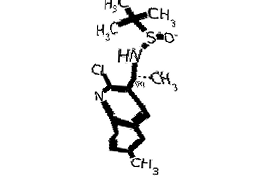 Cc1ccc2nc(Cl)c([C@@H](C)N[S+]([O-])C(C)(C)C)cc2c1